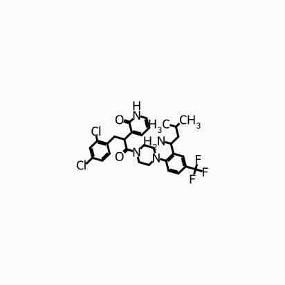 CC(C)CC(N)c1cc(C(F)(F)F)ccc1N1CCN(C(=O)C(Cc2ccc(Cl)cc2Cl)c2ccc[nH]c2=O)CC1